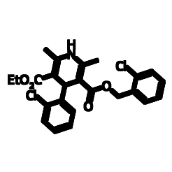 CCOC(=O)C1=C(C)NC(C)=C(C(=O)OCc2ccccc2Cl)C1c1ccccc1Cl